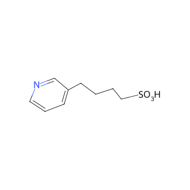 O=S(=O)(O)CCCCc1cccnc1